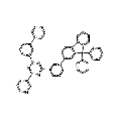 c1ccc(-c2cccc(-c3nc(-c4cccnc4)nc(-c4cccc(-c5ccc6c(c5)C(c5ccccc5)(c5ccccc5)c5ccccc5-6)c4)n3)c2)cc1